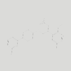 COc1ncc(C)cc1C(COC1CCC(c2cccc(F)c2)CC1)C[N+](=O)[O-]